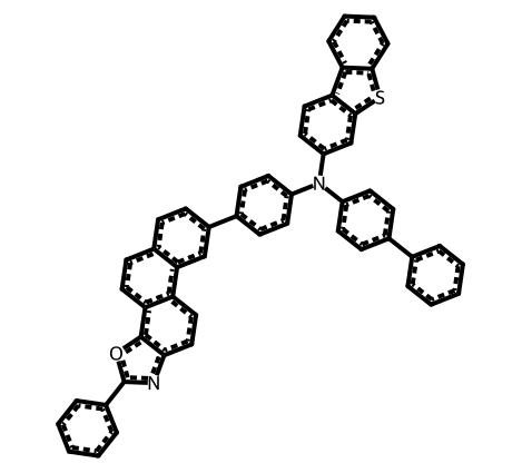 c1ccc(-c2ccc(N(c3ccc(-c4ccc5ccc6c(ccc7nc(-c8ccccc8)oc76)c5c4)cc3)c3ccc4c(c3)sc3ccccc34)cc2)cc1